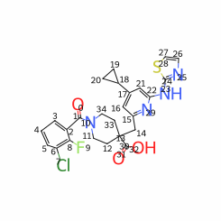 O=C(c1cccc(Cl)c1F)N1CCC(Cc2cc(C3CC3)cc(Nc3nccs3)n2)(C(=O)O)CC1